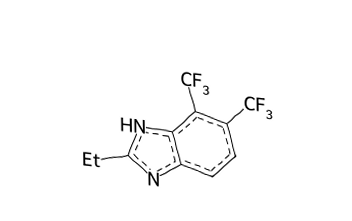 CCc1nc2ccc(C(F)(F)F)c(C(F)(F)F)c2[nH]1